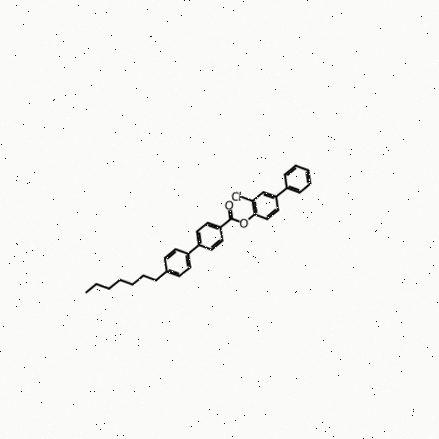 CCCCCCCc1ccc(-c2ccc(C(=O)Oc3ccc(-c4ccccc4)cc3Cl)cc2)cc1